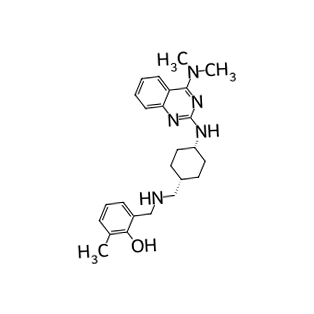 Cc1cccc(CNC[C@H]2CC[C@@H](Nc3nc(N(C)C)c4ccccc4n3)CC2)c1O